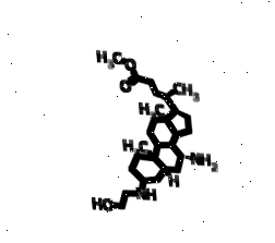 COC(=O)CC[C@@H](C)[C@H]1CCC2C3C(CC[C@@]21C)[C@@]1(C)CCC(NCCO)C[C@H]1C[C@H]3N